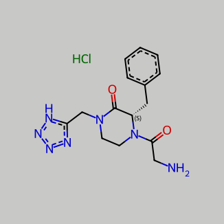 Cl.NCC(=O)N1CCN(Cc2nnn[nH]2)C(=O)[C@@H]1Cc1ccccc1